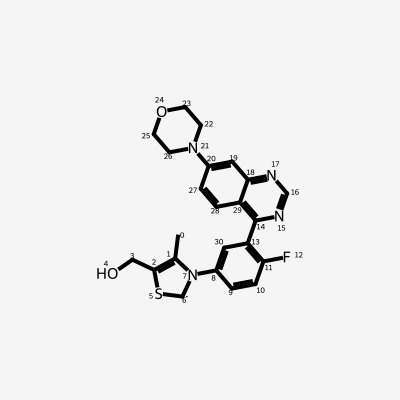 CC1=C(CO)S[CH]N1c1ccc(F)c(-c2ncnc3cc(N4CCOCC4)ccc23)c1